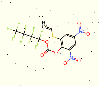 C=CSc1cc([N+](=O)[O-])cc([N+](=O)[O-])c1OC(=O)OC(F)(F)C(F)(F)C(F)(F)C(F)(F)F